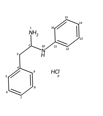 Cl.NC(Cc1ccccc1)Nc1ccccc1